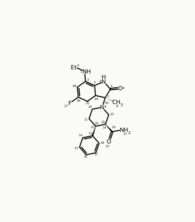 CCNC1=C2NC(=O)[C@@](C)(N3CC[C@H](c4ccccc4)[C@H](C(N)=O)C3)C2CC(F)=C1